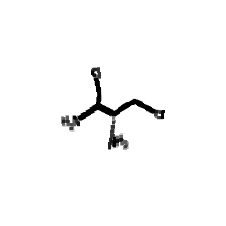 NC(Cl)[C@@H](N)CCl